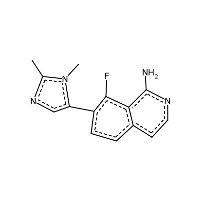 Cc1ncc(-c2ccc3ccnc(N)c3c2F)n1C